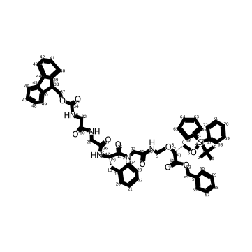 CC(C)(C)[Si](OC[C@@H](OCNC(=O)CNC(=O)[C@H](Cc1ccccc1)NC(=O)CNC(=O)CNC(=O)OCC1c2ccccc2-c2ccccc21)C(=O)OCc1ccccc1)(c1ccccc1)c1ccccc1